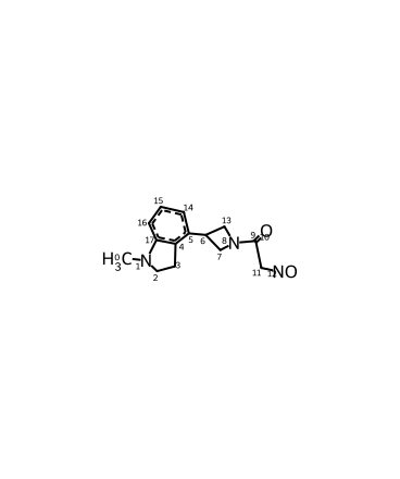 CN1CCc2c(C3CN(C(=O)CN=O)C3)cccc21